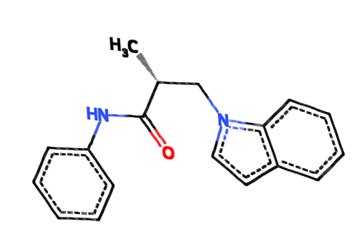 C[C@H](Cn1ccc2ccccc21)C(=O)Nc1ccccc1